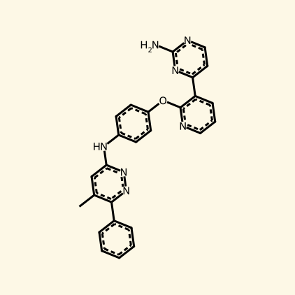 Cc1cc(Nc2ccc(Oc3ncccc3-c3ccnc(N)n3)cc2)nnc1-c1ccccc1